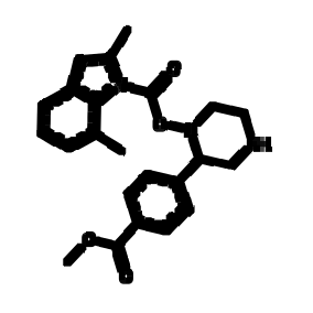 COC(=O)c1ccc(C2CNCCN2OC(=O)n2c(C)cc3cccc(C)c32)cc1